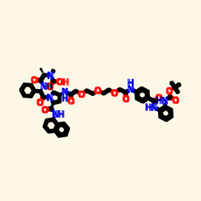 C[C@@H](C(=O)N[C@H](C(=O)N1C[C@@H](NC(=O)COCCOCCOCC(=O)Nc2ccc(C(=O)Nc3ccccc3NC(=O)OC(C)(C)C)cc2)C[C@H]1C(=O)N[C@@H]1CCCc2ccccc21)C1CCCCC1)N(C)C(=O)O